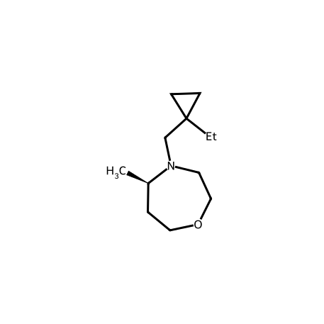 CCC1(CN2CCOCC[C@H]2C)CC1